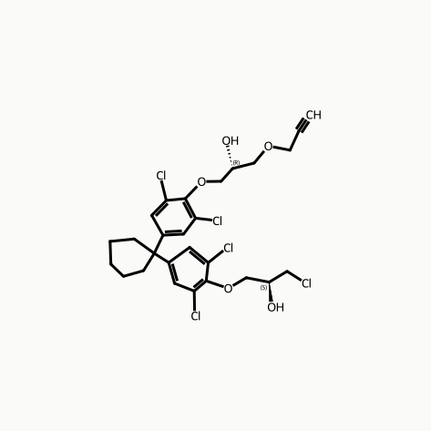 C#CCOC[C@@H](O)COc1c(Cl)cc(C2(c3cc(Cl)c(OC[C@H](O)CCl)c(Cl)c3)CCCCC2)cc1Cl